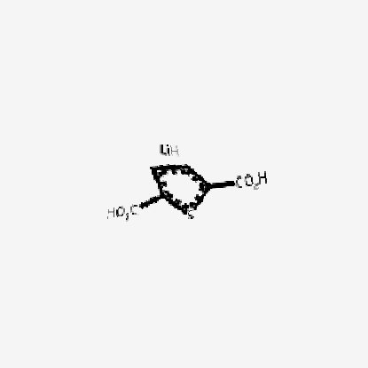 O=C(O)c1[c]cc(C(=O)O)s1.[LiH]